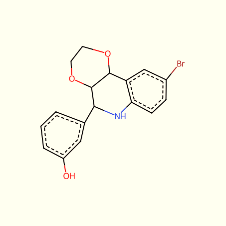 Oc1cccc(C2Nc3ccc(Br)cc3C3OCCOC23)c1